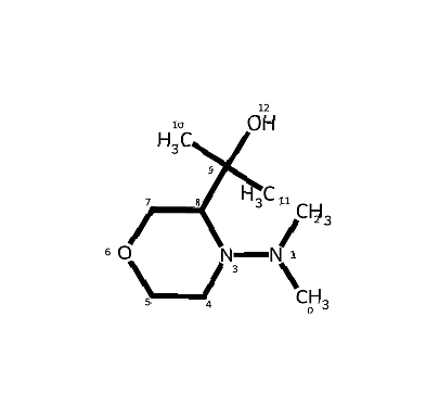 CN(C)N1CCOCC1C(C)(C)O